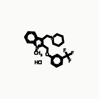 Cl.Cn1c(COc2cccc(C(F)(F)F)c2)c(CN2CCCCC2)c2ccccc21